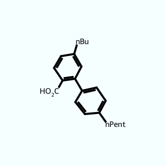 CCCCCc1ccc(-c2cc(CCCC)ccc2C(=O)O)cc1